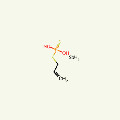 C=CCSP(O)(O)=S.[SbH3]